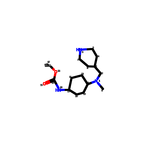 CN(CC1CCNCC1)C1CCC(NC(=O)OC(C)(C)C)CC1